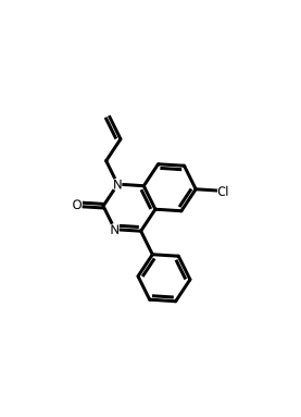 C=CCn1c(=O)nc(-c2ccccc2)c2cc(Cl)ccc21